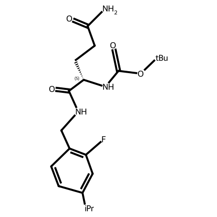 CC(C)c1ccc(CNC(=O)[C@H](CCC(N)=O)NC(=O)OC(C)(C)C)c(F)c1